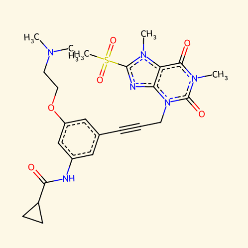 CN(C)CCOc1cc(C#CCn2c(=O)n(C)c(=O)c3c2nc(S(C)(=O)=O)n3C)cc(NC(=O)C2CC2)c1